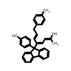 C\C(O)=C/C=C(\C=C\Cc1ccc(C)cc1)C1(c2ccc(O)cc2)c2ccccc2-c2ccccc21